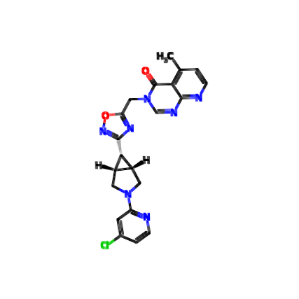 Cc1ccnc2ncn(Cc3nc([C@@H]4[C@@H]5CN(c6cc(Cl)ccn6)C[C@@H]54)no3)c(=O)c12